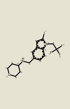 FC(F)(F)Cn1c(I)cc2cc(CNC3CCOCC3)ccc21